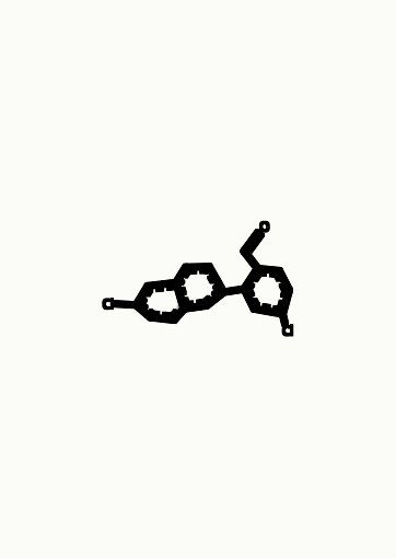 O=Cc1ccc(Cl)cc1-c1ccc2cc(Cl)ccc2c1